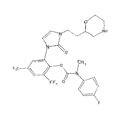 CN(C(=O)Oc1c(-n2ccn(CCC3CNCCO3)c2=O)cc(C(F)(F)F)cc1C(F)(F)F)c1ccc(F)cc1